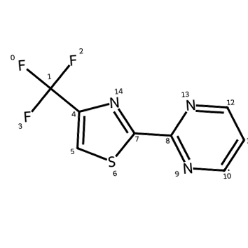 FC(F)(F)c1csc(-c2n[c]ccn2)n1